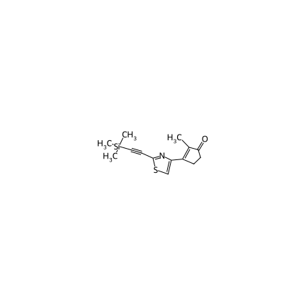 CC1=C(c2csc(C#C[Si](C)(C)C)n2)CCC1=O